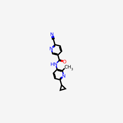 Cc1nc(C2CC2)ccc1NC(=O)c1ccc(C#N)nc1